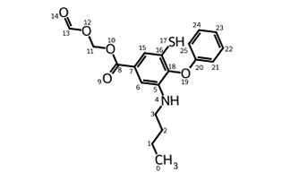 CCCCNc1cc(C(=O)OCOC=O)cc(S)c1Oc1ccccc1